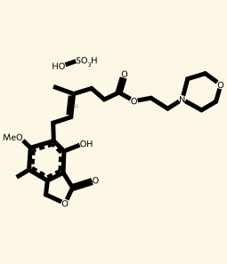 COc1c(C)c2c(c(O)c1C/C=C(\C)CCC(=O)OCCN1CCOCC1)C(=O)OC2.O=S(=O)(O)O